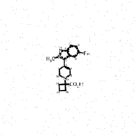 CCOC(=O)C1(N2CC=C(c3c4cc(F)ccc4nn3C)CC2)CCC1